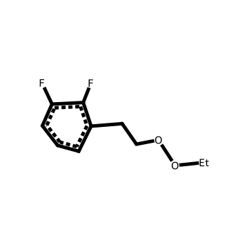 CCOOCCc1cccc(F)c1F